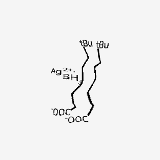 B.CC(C)(C)CCCCCC(=O)[O-].CC(C)(C)CCCCCC(=O)[O-].[Ag+2]